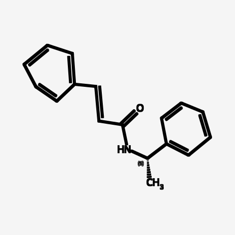 C[C@H](NC(=O)C=Cc1ccccc1)c1ccccc1